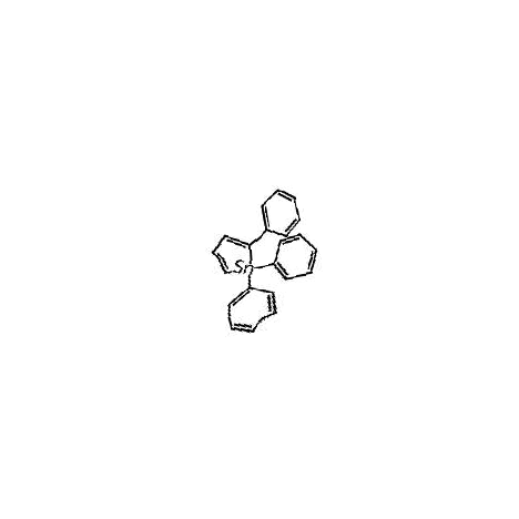 C1=[CH][Sn]([c]2ccccc2)([c]2ccccc2)[C](c2ccccc2)=C1